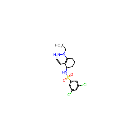 C=CC1=C(N(N)CC(=O)O)CCCC1NS(=O)(=O)c1cc(Cl)cc(Cl)c1